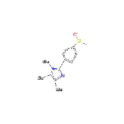 C[S+]([O-])c1ccc(-c2nc(C(C)(C)C)c(C(C)(C)C)n2C(C)(C)C)cc1